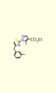 CCOC(=O)c1cnn(-c2nc(Cc3cccc(C)c3)cs2)c1C